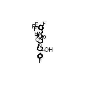 O=C(NCc1cc(F)cc(C(F)(F)F)c1)[C@@]1(C2CC2)CC[C@@H](N2CC[C@@H](c3ccc(F)cc3)[C@H](CO)C2)CO1